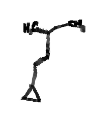 CC(C)CC[C]1CC1